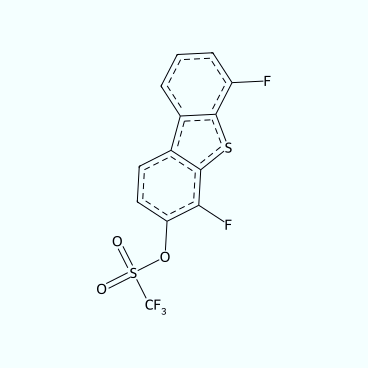 O=S(=O)(Oc1ccc2c(sc3c(F)cccc32)c1F)C(F)(F)F